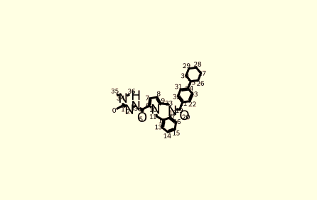 CC(=NNC(=O)c1ccc2n1Cc1ccccc1N(C(=O)c1ccc(C3CCCCC3)cc1)C2)N(C)C